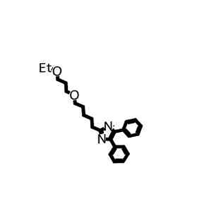 CCOCCCOCCCCCC1=NC(c2ccccc2)=C(c2ccccc2)[N]1